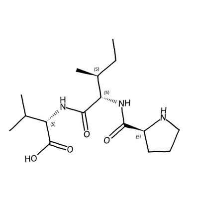 CC[C@H](C)[C@H](NC(=O)[C@@H]1CCCN1)C(=O)N[C@H](C(=O)O)C(C)C